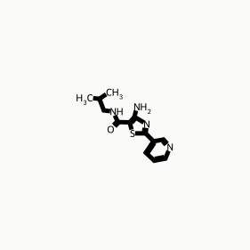 CC(C)CNC(=O)c1sc(-c2cccnc2)nc1N